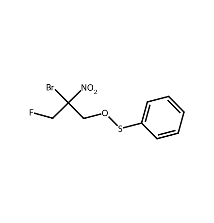 O=[N+]([O-])C(Br)(CF)COSc1ccccc1